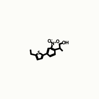 CCc1ccc(-c2ccc(C(C)CO)c([N+](=O)[O-])c2)s1